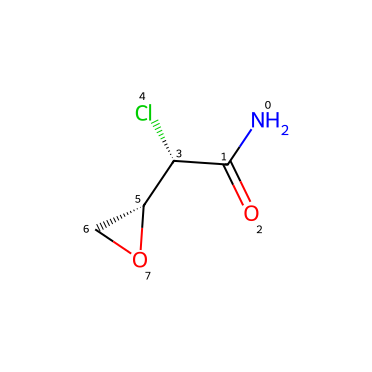 NC(=O)[C@@H](Cl)[C@H]1CO1